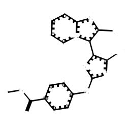 CNC(=O)c1ccc(Nc2nc(-c3c(C)nc4ccccn34)c(F)s2)cc1